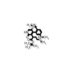 CNc1ccc(C#N)c(-c2c(OC)c[nH]c(=O)c2C(CCOC)C(=O)OC(C)(C)C)c1